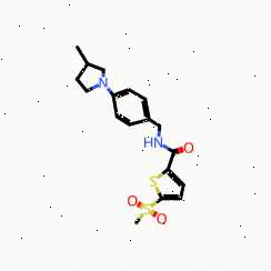 CC1CCN(c2ccc(CNC(=O)c3ccc(S(C)(=O)=O)s3)cc2)C1